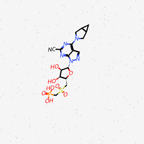 N#Cc1nc(N2CC3CC3C2)c2cnn([C@@H]3O[C@H](CS(=O)(=O)CP(=O)(O)O)[C@@H](O)[C@H]3O)c2n1